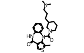 Cc1scc2c1N(C(=O)N1CCCC(CCCN(C)C)C1)c1ccccc1NC2=O